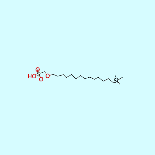 C[Si](C)(C)CCCCCCCCCCCCCCOCS(=O)(=O)O